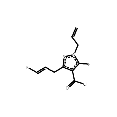 C=CCn1nc(CC=CF)c(C(=O)Cl)c1F